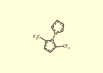 FC(F)(F)c1ccc(C(F)(F)F)n1-n1cccc1